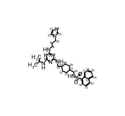 CC(C)Nc1nc(NCCCn2ccnc2)nc(NCC2CCC(CNS(=O)(=O)c3cccc4ccccc34)CC2)n1